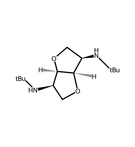 CC(C)(C)N[C@@H]1CO[C@H]2[C@@H]1OC[C@H]2NC(C)(C)C